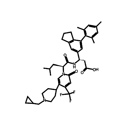 Cc1cc(C)c(-c2cc([C@H](CC(=O)O)NC(=O)[C@H](CC(C)C)n3cc(C4CCN(CC5CC5)CC4)c(C(F)(F)F)cc3=O)cc3c2CCC3)c(C)c1